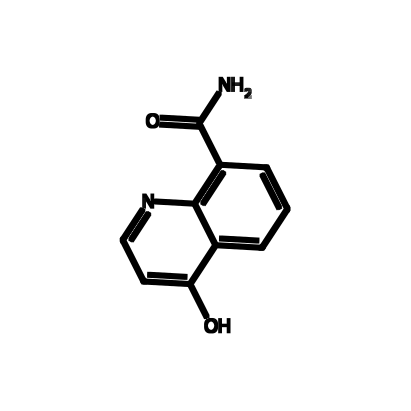 NC(=O)c1cccc2c(O)ccnc12